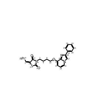 CCCC=C1SC(=O)N(CCCCOc2cccn3cc(-c4ccccc4)nc23)C1=O